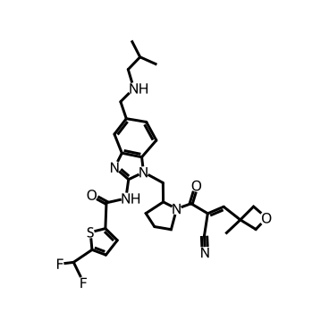 CC(C)CNCc1ccc2c(c1)nc(NC(=O)c1ccc(C(F)F)s1)n2CC1CCCN1C(=O)C(C#N)=CC1(C)COC1